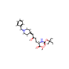 COC(=O)[C@@H](CCC(=O)C=C1CCN(Cc2ccccc2)CC1)NC(=O)OC(C)(C)C